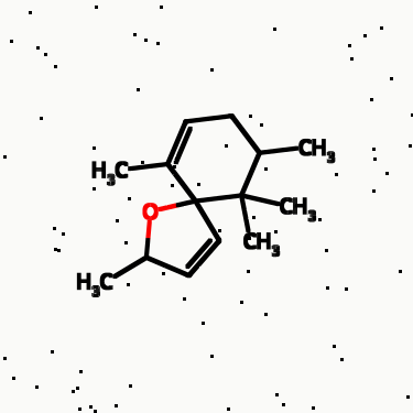 CC1=CCC(C)C(C)(C)C12C=CC(C)O2